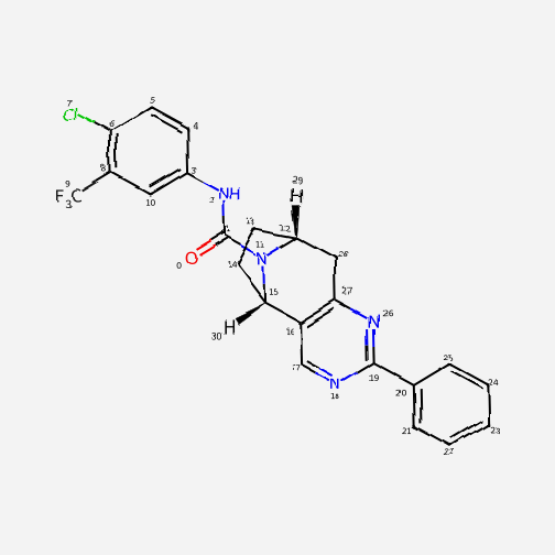 O=C(Nc1ccc(Cl)c(C(F)(F)F)c1)N1[C@@H]2CC[C@H]1c1cnc(-c3ccccc3)nc1C2